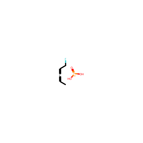 CC=C=CCF.O=[PH](O)O